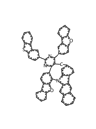 c1ccc2cc3c(cc2c1)c1ccc2cc1n3-c1c(ccc3c1oc1ccccc13)-c1nc(-c3ccc4sc5ccccc5c4c3)nc(-c3ccc4oc5ccccc5c4c3)c1C2